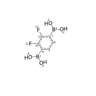 OB(O)c1ccc(B(O)O)c(F)c1F